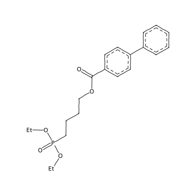 CCOP(=O)(CCCCOC(=O)c1ccc(-c2ccccc2)cc1)OCC